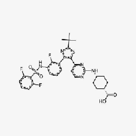 CC(C)(C)c1nc(-c2cccc(NS(=O)(=O)c3c(F)cccc3F)c2F)c(-c2ccnc(N[C@H]3CC[C@@H](C(=O)O)CC3)n2)s1